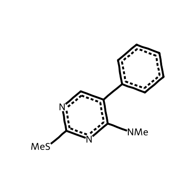 CNc1nc(SC)ncc1-c1ccccc1